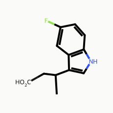 CC(CC(=O)O)c1c[nH]c2ccc(F)cc12